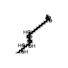 CCCC(O)CCC(O)CCC(O)C1CCC(C2CCC(C(O)CCCCCCCCCCCCCC3=CC(C)OC3=O)O2)O1